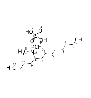 CCCCCCCCC(CCCC)N(C)C.O=S(=O)(O)O